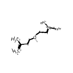 C=C(C)CCOCCN(CCC)CCC